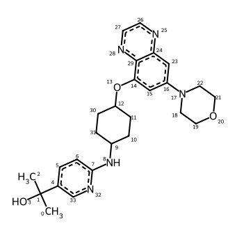 CC(C)(O)c1ccc(NC2CCC(Oc3cc(N4CCOCC4)cc4nccnc34)CC2)nc1